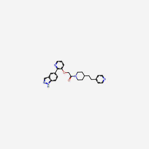 O=C(COc1cccnc1-c1ccc2[nH]ncc2c1)N1CCC(CCc2ccncc2)CC1